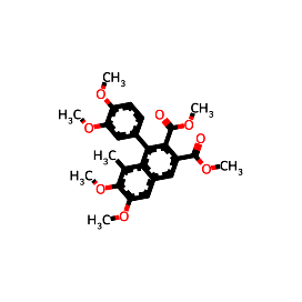 COC(=O)c1cc2cc(OC)c(OC)c(C)c2c(-c2ccc(OC)c(OC)c2)c1C(=O)OC